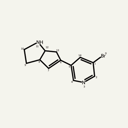 Brc1cncc(C2=CC3CCNC3C2)c1